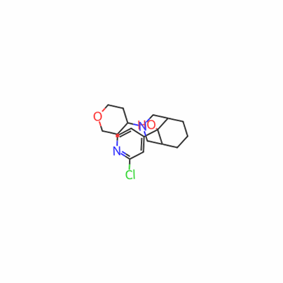 OC1(c2ccnc(Cl)c2)C2CCCC1CN(C1CCOCC1)C2